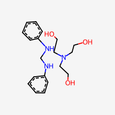 OCCN(CCO)CCO.c1ccc(NCNc2ccccc2)cc1